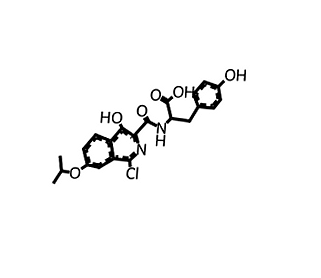 CC(C)Oc1ccc2c(O)c(C(=O)NC(Cc3ccc(O)cc3)C(=O)O)nc(Cl)c2c1